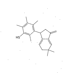 C=C1CC(c2c(C)c(C)c(C)c(S)c2C)C2=CCC(C)(C)C=C12